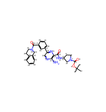 CC(C)(C)OC(=O)N1CC[C@H](NC(=O)c2nc(-c3cccc(C(=O)N4CCc5ccccc5C4)c3)cnc2N)C1